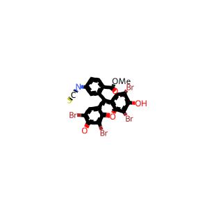 COC(=O)c1ccc(N=C=S)cc1-c1c2cc(Br)c(=O)c(Br)c-2oc2c(Br)c(O)c(Br)cc12